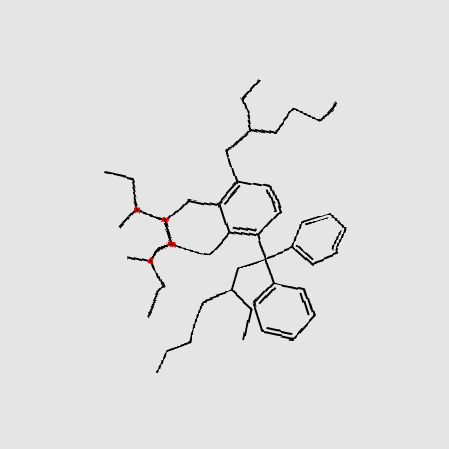 CCCCC(CC)Cc1ccc(C(CC(CC)CCCC)(c2ccccc2)c2ccccc2)c(CC(CC)CCCC)c1CC(CC)CCCC